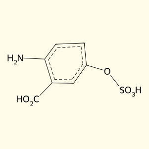 Nc1ccc(OS(=O)(=O)O)cc1C(=O)O